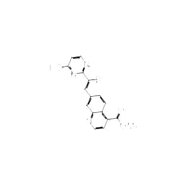 COC(=O)c1ccnc2cc(C=C(Br)c3nccc(C)n3)ccc12